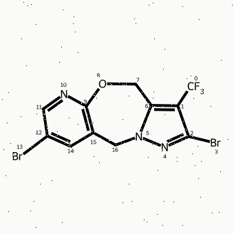 FC(F)(F)c1c(Br)nn2c1COc1ncc(Br)cc1C2